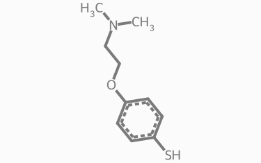 CN(C)CCOc1ccc(S)cc1